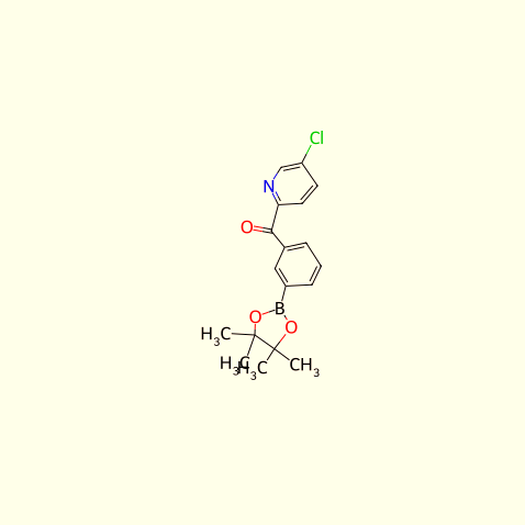 CC1(C)OB(c2cccc(C(=O)c3ccc(Cl)cn3)c2)OC1(C)C